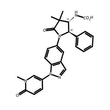 Cn1cc(-n2ncc3cc(N4C(=O)C(C)(C)[C@H](NC(=O)O)[C@H]4c4ccccc4)ccc32)ccc1=O